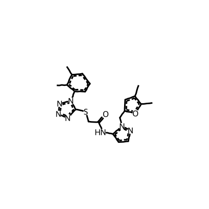 Cc1cc(Cn2nccc2NC(=O)CSc2nnnn2-c2cccc(C)c2C)oc1C